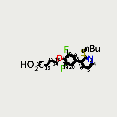 CCCCSc1ncccc1-c1cc(F)c(OCCCC(=O)O)c(F)c1